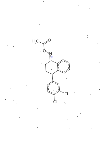 CC(=O)O/N=C1\CCC(c2ccc(Cl)c(Cl)c2)c2ccccc21